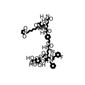 CC(C)[C@H](NC(=O)CCCCCN1C(=O)C=CC1=O)C(=O)N[C@@H](CCCNC(N)=O)C(=O)Nc1ccc(COC(=O)N[C@@H](CF)CCN(C(=O)CO[C@@H]2O[C@H](C(=O)O)[C@@H](O)[C@H](O)[C@H]2O)[C@@H](c2nc(-c3cc(F)ccc3F)cn2Cc2ccccc2)C(C)(C)C)cc1